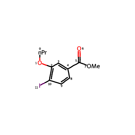 CCCOc1cc(C(=O)OC)ccc1I